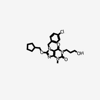 Cn1c(=O)n(CCCO)c(=O)c2c1nc(OCC1CCCC1)n2Cc1ccc(Cl)cc1